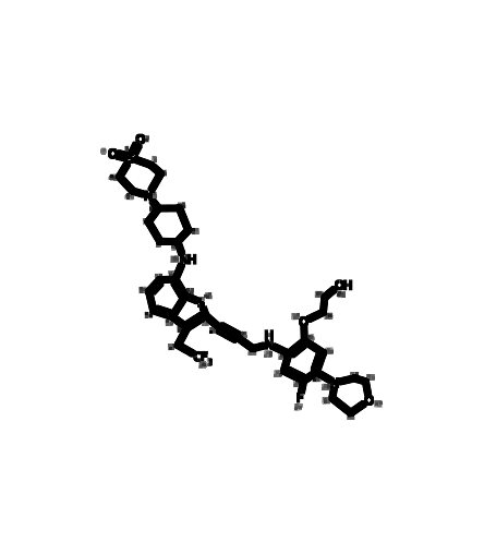 O=S1(=O)CCN(C2CCC(Nc3cccc4c(CC(F)(F)F)c(C#CCNc5cc(F)c(N6CCOCC6)cc5OCCO)sc34)CC2)CC1